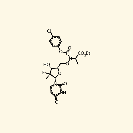 CCOC(=O)C(C)N(OC[C@H]1O[C@@H](n2ccc(=O)[nH]c2=O)[C@](C)(F)[C@@H]1O)[PH](=O)Oc1ccc(Cl)cc1